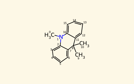 CN1c2ccccc2C(C)(C)c2ccccc21